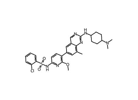 COc1nc(NS(=O)(=O)c2ccccc2Cl)ccc1-c1cc(C)c2nc(NC3CCC(N(C)C)CC3)ncc2c1